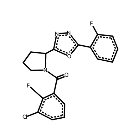 O=C(c1cccc(Cl)c1F)N1CCCC1c1nnc(-c2ccccc2F)o1